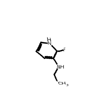 CCNC1=CC=CN[C]1F